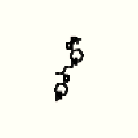 CC(C)OC1CCCN(CCC(C)OC2CCN(C)CC2)C1